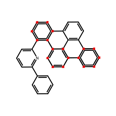 c1ccc(-c2cccc(-c3ccccc3-c3cccc(-c4ccccc4)c3-c3c(-c4ccccc4)cccc3-c3ccccc3-c3cccc(-c4ccccc4)n3)n2)cc1